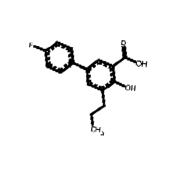 CCCc1cc(-c2ccc(F)cc2)cc(C(=O)O)c1O